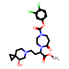 COC(=O)C(CCN1CCC2(CC2)[C@H](O)C1)N1CCN(C(=O)Oc2ccc(Cl)c(Cl)c2)CCC1=O